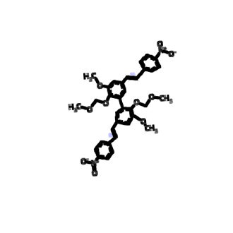 COCOc1c(OC)cc(/C=C/c2ccc([N+](=O)[O-])cc2)cc1-c1cc(/C=C/c2ccc([N+](=O)[O-])cc2)cc(OC)c1OCOC